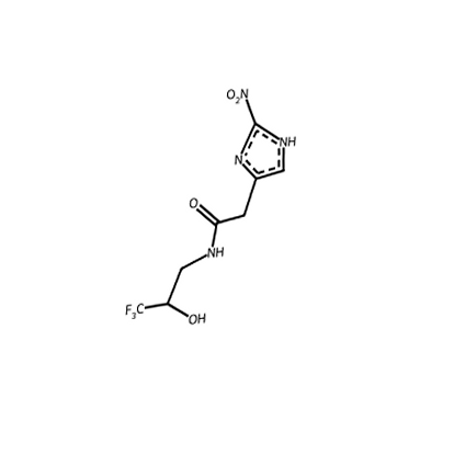 O=C(Cc1c[nH]c([N+](=O)[O-])n1)NCC(O)C(F)(F)F